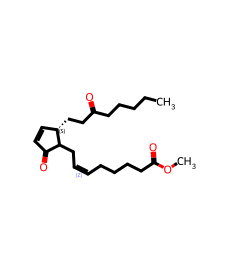 CCCCCC(=O)CC[C@H]1C=CC(=O)C1C/C=C\CCCCC(=O)OC